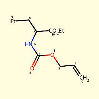 C=CCOC(=O)NC(CC(C)C)C(=O)OCC